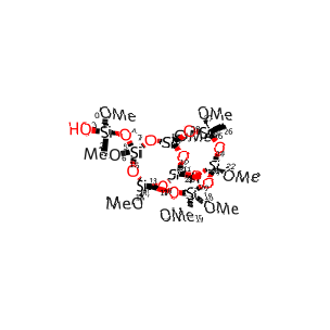 CO[Si](C)(O)O[Si]1(OC)O[Si]2(OC)O[Si@@H]3O[Si@@](OC)(O1)O[Si](OC)(OC)O[Si@](OC)(O3)O[Si@](C)(OC)O2